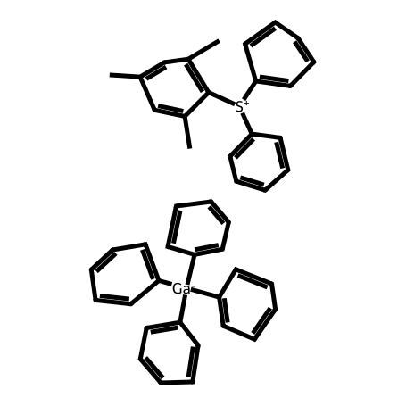 Cc1cc(C)c([S+](c2ccccc2)c2ccccc2)c(C)c1.c1cc[c]([Ga-]([c]2ccccc2)([c]2ccccc2)[c]2ccccc2)cc1